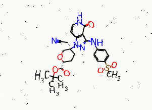 CC(C)(C)OC(=O)[C@H]1CC[C@](CC#N)(n2nc(Nc3ccc(S(C)(=O)=O)cc3)c3c(=O)[nH]ccc32)CO1